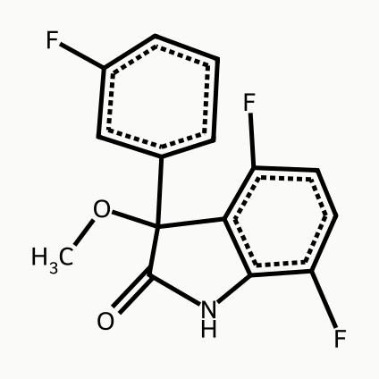 COC1(c2cccc(F)c2)C(=O)Nc2c(F)ccc(F)c21